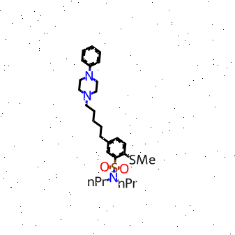 CCCN(CCC)S(=O)(=O)c1cc(CCCCCN2CCN(c3ccccc3)CC2)ccc1SC